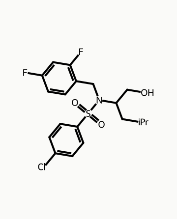 CC(C)CC(CO)N(Cc1ccc(F)cc1F)S(=O)(=O)c1ccc(Cl)cc1